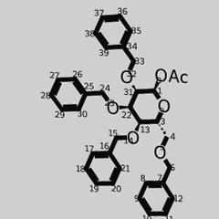 CC(=O)O[C@H]1O[C@H](COCc2ccccc2)[C@@H](OCc2ccccc2)[C@@H](OCc2ccccc2)[C@@H]1OCc1ccccc1